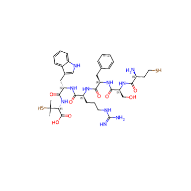 CC(C)(S)[C@H](NC(=O)[C@H](Cc1c[nH]c2ccccc12)NC(=O)[C@H](CCCNC(=N)N)NC(=O)[C@@H](Cc1ccccc1)NC(=O)[C@H](CO)NC(=O)[C@@H](N)CCS)C(=O)O